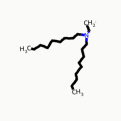 [CH2]CN(CCCCCCCCC)CCCCCCCCC